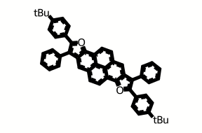 CC(C)(C)c1ccc(-c2oc3c(cc4ccc5c6oc(-c7ccc(C(C)(C)C)cc7)c(-c7ccccc7)c6cc6ccc3c4c65)c2-c2ccccc2)cc1